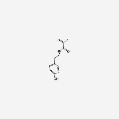 C=C(C)C(=O)NCCc1ccc(O)cc1